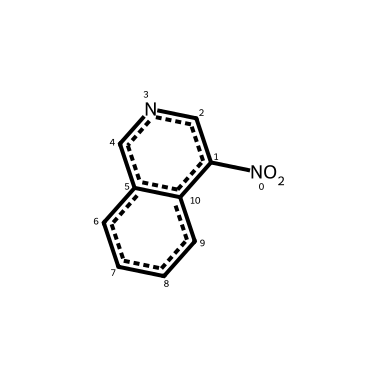 O=[N+]([O-])c1cncc2ccccc12